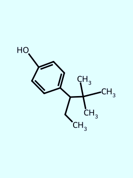 CCC(c1ccc(O)cc1)C(C)(C)C